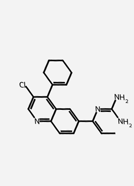 CC=C(N=C(N)N)c1ccc2ncc(Cl)c(C3=CCCCC3)c2c1